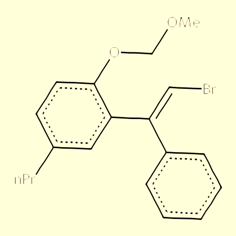 CCCc1ccc(OCOC)c(/C(=C/Br)c2ccccc2)c1